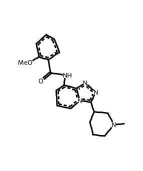 COc1ccccc1C(=O)Nc1cccn2c(C3CCCN(C)C3)nnc12